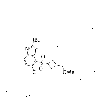 COCC1CC(S(=O)(=O)c2c(Cl)ccc3nc(C(C)(C)C)oc23)C1